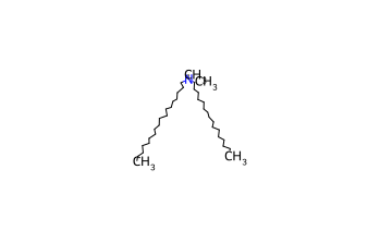 CCCCCCCCCCCCCCCCCCN(C)C(C)CCCCCCCCCCCCCCC